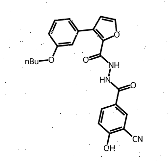 CCCCOc1cccc(-c2ccoc2C(=O)NNC(=O)c2ccc(O)c(C#N)c2)c1